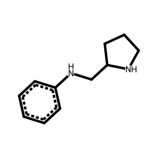 c1ccc(NCC2CCCN2)cc1